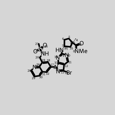 CNC(=O)[C@]1(C)CC[C@@H](Nc2ncc3c(Br)nn(-c4cc(CNS(C)(=O)=O)c5ncccc5c4)c3n2)C1